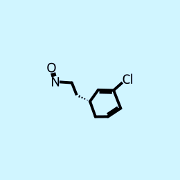 O=NCC[C@@H]1C=C(Cl)C=CC1